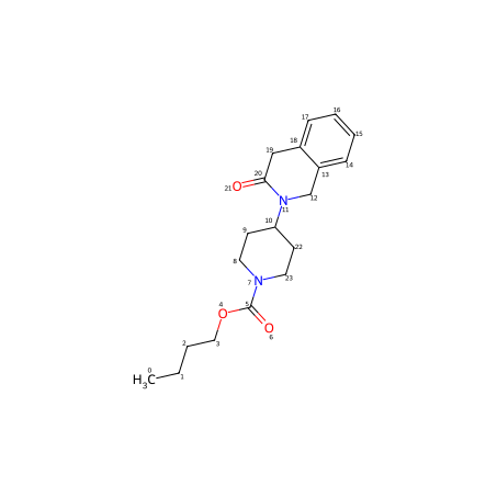 CCCCOC(=O)N1CCC(N2Cc3ccccc3CC2=O)CC1